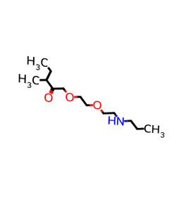 CCCNCCOCCOCC(=O)C(C)CC